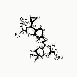 CC(C)(C)OC(=O)N[C@H](c1nc2c(F)c(C(C3CC3)N3C[C@H](C(F)(F)F)OS3(=O)=O)ccc2o1)C1CCC(F)(F)CC1